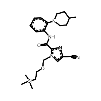 CC1CCN(c2ccccc2NC(=O)c2nc(C#N)cn2COCC[Si](C)(C)C)CC1